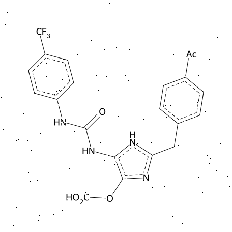 CC(=O)c1ccc(Cc2nc(OC(=O)O)c(NC(=O)Nc3ccc(C(F)(F)F)cc3)[nH]2)cc1